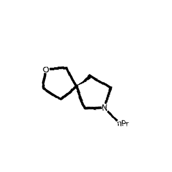 CCCN1CC[C@]2(CCOC2)C1